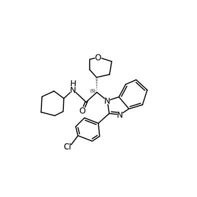 O=C(NC1CCCCC1)[C@H](C1CCOCC1)n1c(-c2ccc(Cl)cc2)nc2ccccc21